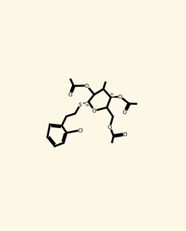 CC(=O)OCC1O[C@H](SCCc2ccccc2Cl)C(OC(C)=O)C(C)[C@H]1OC(C)=O